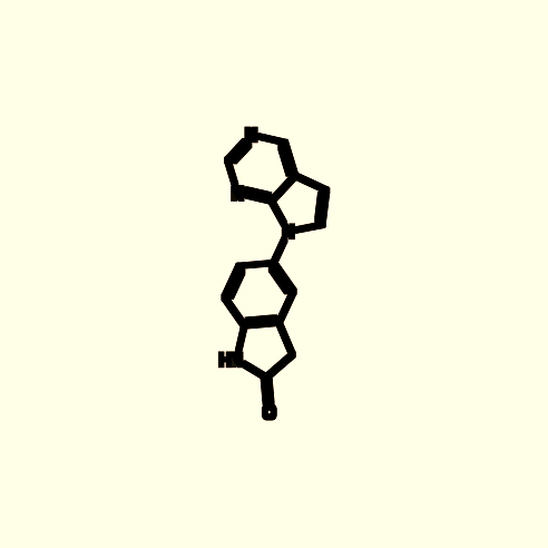 O=C1Cc2cc(-n3ccc4cncnc43)ccc2N1